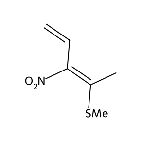 C=C/C(=C(\C)SC)[N+](=O)[O-]